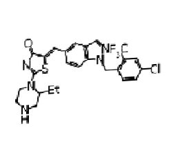 CCC1CNCCN1C1=NC(=O)/C(=C/c2ccc3c(cnn3Cc3ccc(Cl)cc3C(F)(F)F)c2)S1